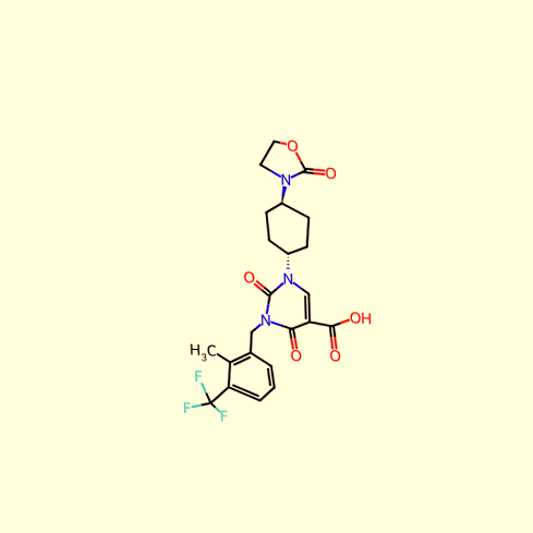 Cc1c(Cn2c(=O)c(C(=O)O)cn([C@H]3CC[C@H](N4CCOC4=O)CC3)c2=O)cccc1C(F)(F)F